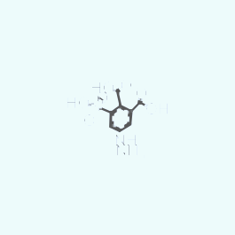 N.N.O=C(O)c1cccc(S(=O)(=O)O)c1C(=O)O